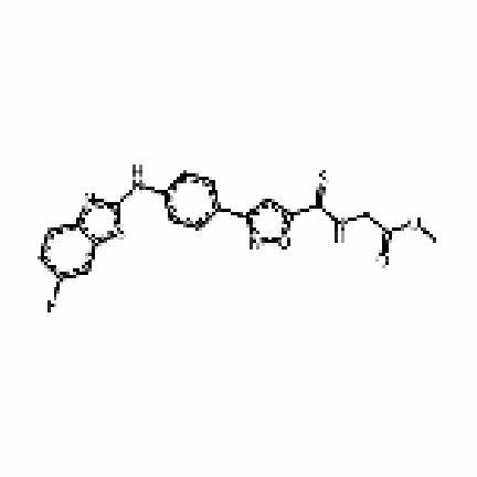 COC(=O)CNC(=S)c1cc(-c2ccc(Nc3nc4ccc(F)cc4s3)cc2)no1